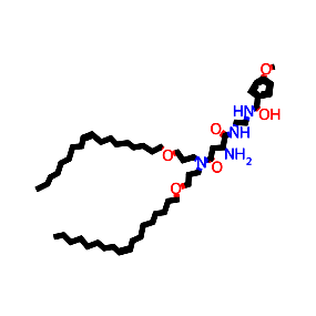 CCCCCCCC/C=C\CCCCCCCCOCCCN(CCCOCCCCCCCC/C=C\CCCCCCCC)C(=O)C[C@@H](N)C(=O)NCCNC(O)c1ccc(OC)cc1